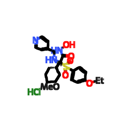 CCOc1ccc(S(=O)(=O)[C@@](NCc2ccncc2)(C(=O)NO)[C@H]2CC[C@H](OC)CC2)cc1.Cl